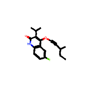 CCC(C)C#COc1c(C(C)C)c(=O)[nH]c2ccc(F)cc12